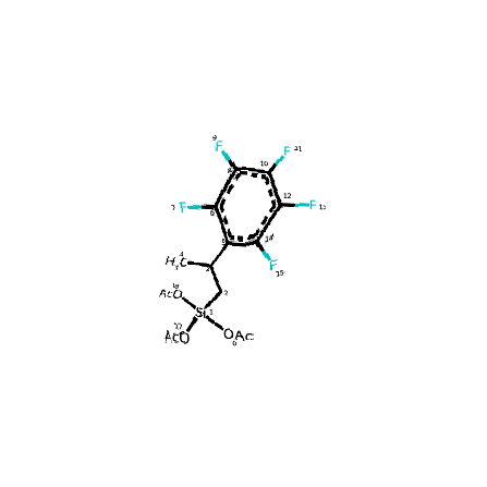 CC(=O)O[Si](CC(C)c1c(F)c(F)c(F)c(F)c1F)(OC(C)=O)OC(C)=O